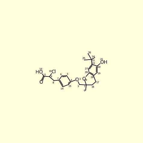 CC1(COc2ccc(CC(Cl)C(=O)O)cc2)CCc2cc(O)c(C(C)(C)C)cc2O1